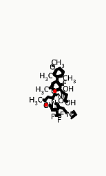 COc1ccc(C)c(-c2cc(C)c(F)c([C@@](O)(CC(=O)O)NC(=O)C(CC(C)C)n3cc(CCN4CCC4)c(C(F)(F)F)cc3=O)c2F)c1C